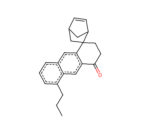 CCCc1cccc2cc3c(cc12)C(=O)CCC31CC2C=CC1C2